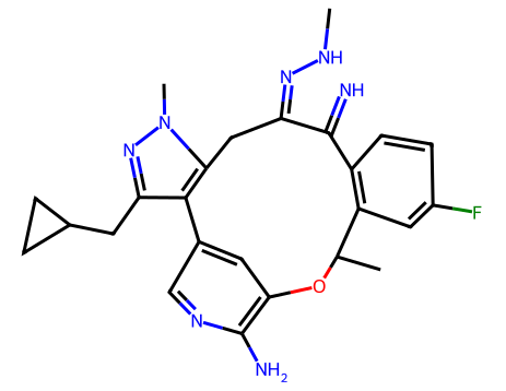 CN/N=C1/Cc2c(c(CC3CC3)nn2C)-c2cnc(N)c(c2)OC(C)c2cc(F)ccc2C1=N